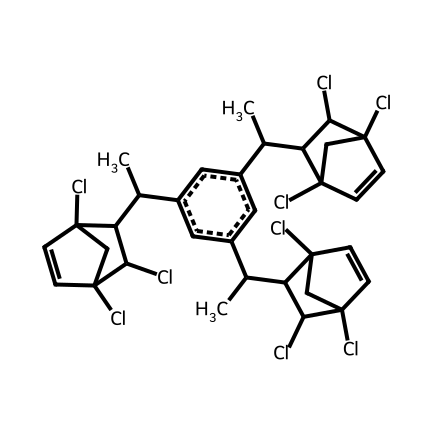 CC(c1cc(C(C)C2C(Cl)C3(Cl)C=CC2(Cl)C3)cc(C(C)C2C(Cl)C3(Cl)C=CC2(Cl)C3)c1)C1C(Cl)C2(Cl)C=CC1(Cl)C2